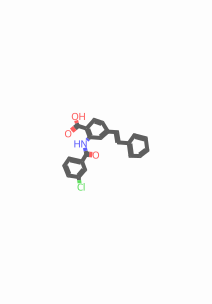 O=C(Nc1cc(C=Cc2ccccc2)ccc1C(=O)O)c1cccc(Cl)c1